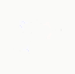 CC(=O)Oc1cc2[nH]nc(-c3cccnc3)c2s1